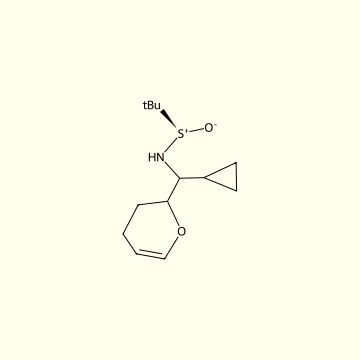 CC(C)(C)[S@@+]([O-])NC(C1CC1)C1CCC=CO1